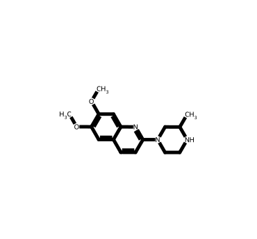 COc1cc2ccc(N3CCNC(C)C3)nc2cc1OC